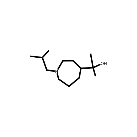 CC(C)CN1CCCC(C(C)(C)O)CC1